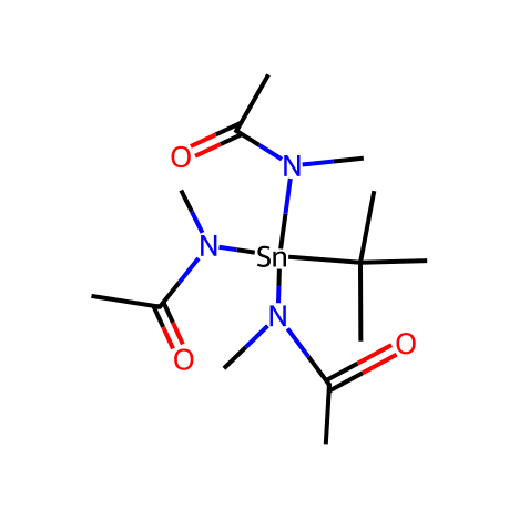 CC(=O)[N](C)[Sn]([N](C)C(C)=O)([N](C)C(C)=O)[C](C)(C)C